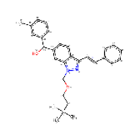 C[Si](C)(C)CCOCn1nc(/C=C/c2ccccc2)c2ccc(C(O)c3cccc([N+](=O)[O-])c3)cc21